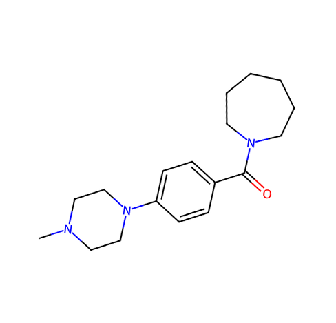 CN1CCN(c2ccc(C(=O)N3CCCCCC3)cc2)CC1